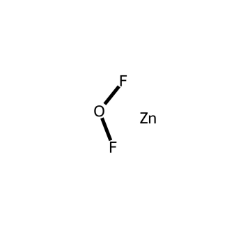 FOF.[Zn]